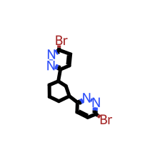 Brc1ccc(C2CCCC(c3ccc(Br)nn3)C2)nn1